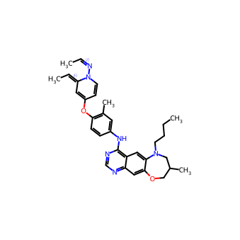 C/C=N\N1C=CC(Oc2ccc(Nc3ncnc4cc5c(cc34)N(CCCC)CC(C)CO5)cc2C)=C/C1=C\C